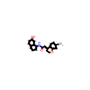 O=C(/C=C1\CCOc2cc(C(F)(F)F)ccc21)Nc1cccc2ccc(O)cc12